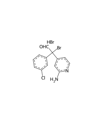 Br.Nc1cc(C(Br)(C=O)c2cccc(Cl)c2)ccn1